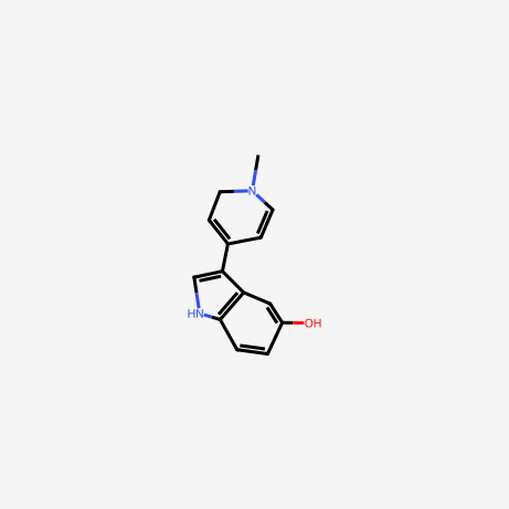 CN1C=CC(c2c[nH]c3ccc(O)cc23)=CC1